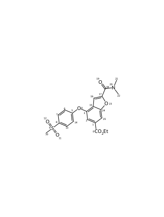 CCOC(=O)c1cc(Oc2ccc(S(C)(=O)=O)cc2)c2cc(C(=O)N(C)C)oc2c1